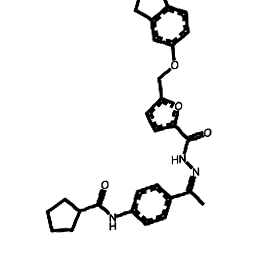 CC(=NNC(=O)c1ccc(COc2ccc3c(c2)CCC3)o1)c1ccc(NC(=O)C2CCCC2)cc1